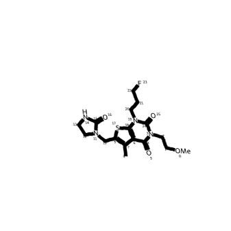 COCCn1c(=O)c2c(C)c(CN3CCNC3=O)sc2n(CCCF)c1=O